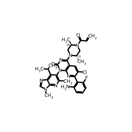 C=CC(=O)N1C[C@H](C)N(c2nc(=O)n(-c3c(C)nc4c(ncn4C)c3C(C)C)c3nc(-c4c(N)cccc4F)c(Cl)cc23)C[C@H]1C